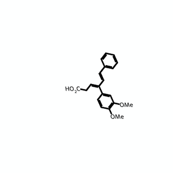 COc1ccc(C(=C\CC(=O)O)/C=C/c2ccccc2)cc1OC